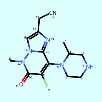 CC1CNCCN1c1c(F)c(=O)n(C)n2cc(CC#N)nc12